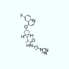 CC(C(=O)NC12CC(n3cnnc3)(C1)C2)[C@H]1[C@@H]2C[C@@H](Oc3ccnc4ccc(F)cc34)C[C@@H]21